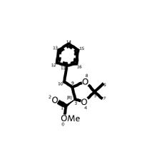 COC(=O)[C@@H]1OC(C)(C)OC1Cc1ccccc1